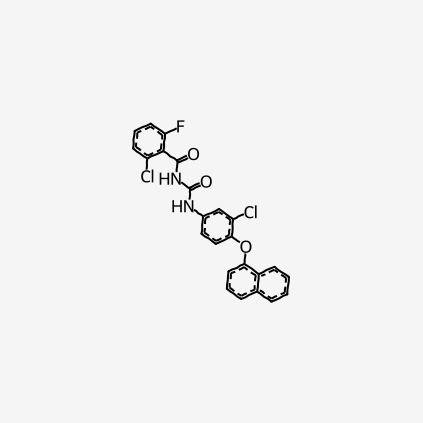 O=C(NC(=O)c1c(F)cccc1Cl)Nc1ccc(Oc2cccc3ccccc23)c(Cl)c1